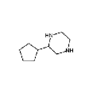 C1CCC(C2CNCCN2)C1